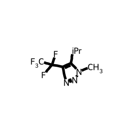 CC(C)c1c(C(F)(F)C(F)(F)F)nnn1C